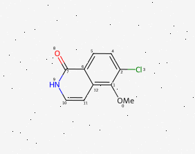 COc1c(Cl)ccc2c(=O)[nH]ccc12